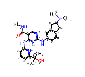 CCNC(=O)c1cnc(Nc2ccc3c(c2)CC(N(C)C)C3)nc1Nc1cccc(C(C)(C)O)n1